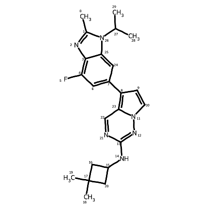 Cc1nc2c(F)cc(-c3ccn4nc(NC5CC(C)(C)C5)ncc34)cc2n1C(C)C